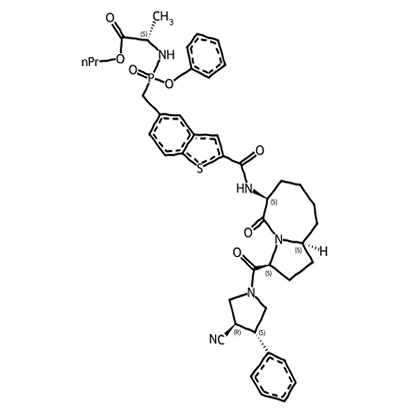 CCCOC(=O)[C@H](C)NP(=O)(Cc1ccc2sc(C(=O)N[C@H]3CCCC[C@H]4CC[C@@H](C(=O)N5C[C@H](c6ccccc6)[C@@H](C#N)C5)N4C3=O)cc2c1)Oc1ccccc1